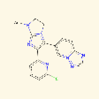 CC(=O)N1CCn2c1nc(-c1cccc(Cl)n1)c2-c1ccc2ncnn2c1